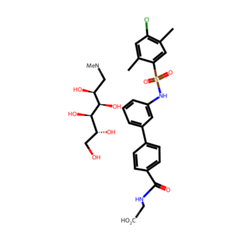 CNC[C@H](O)[C@@H](O)[C@H](O)[C@H](O)CO.Cc1cc(S(=O)(=O)Nc2cccc(-c3ccc(C(=O)NCC(=O)O)cc3)c2)c(C)cc1Cl